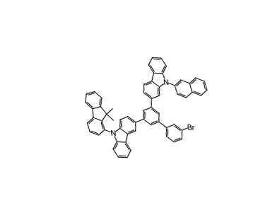 CC1(C)c2ccccc2-c2cccc(-n3c4ccccc4c4cc(-c5cc(-c6cccc(Br)c6)cc(-c6ccc7c8ccccc8n(-c8ccc9ccccc9c8)c7c6)c5)ccc43)c21